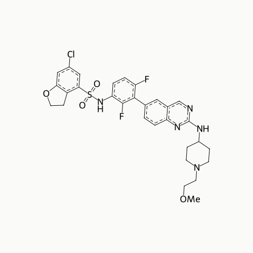 COCCN1CCC(Nc2ncc3cc(-c4c(F)ccc(NS(=O)(=O)c5cc(Cl)cc6c5CCO6)c4F)ccc3n2)CC1